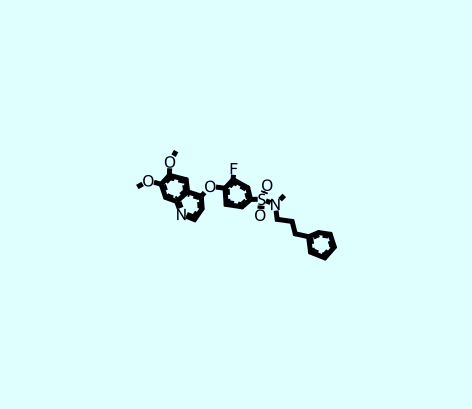 COc1cc2nccc(Oc3ccc(S(=O)(=O)N(C)CCCc4ccccc4)cc3F)c2cc1OC